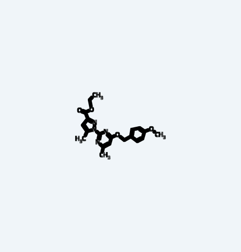 CCOC(=O)c1cc(C)n(-c2nc(C)cc(OCc3ccc(OC)cc3)n2)n1